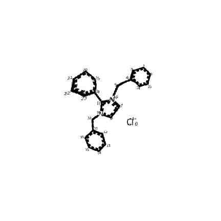 [Cl-].c1ccc(Cn2cc[n+](Cc3ccccc3)c2-c2ccccc2)cc1